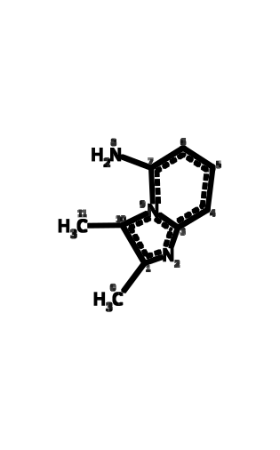 Cc1nc2cccc(N)n2c1C